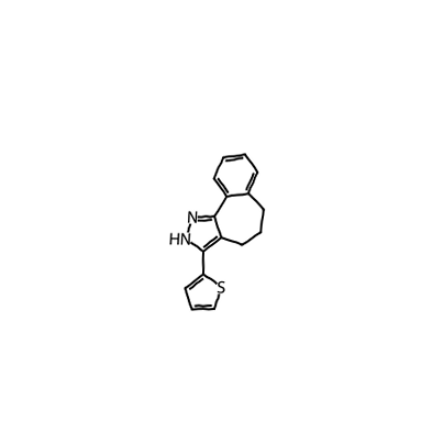 c1csc(-c2[nH]nc3c2CCCc2ccccc2-3)c1